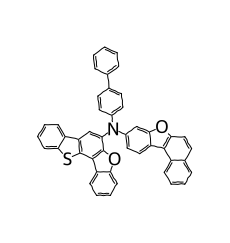 c1ccc(-c2ccc(N(c3ccc4c(c3)oc3ccc5ccccc5c34)c3cc4c5ccccc5sc4c4c3oc3ccccc34)cc2)cc1